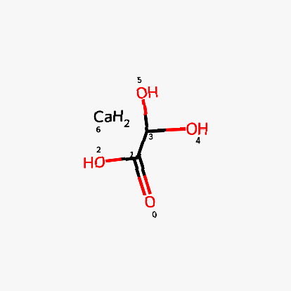 O=C(O)C(O)O.[CaH2]